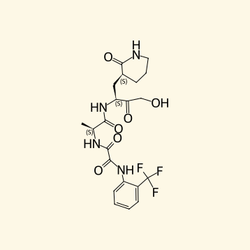 C[C@H](NC(=O)C(=O)Nc1ccccc1C(F)(F)F)C(=O)N[C@@H](C[C@@H]1CCCNC1=O)C(=O)CO